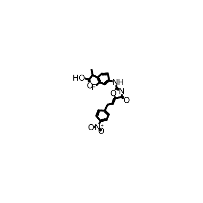 CC(C(=O)O)c1ccc(NC2=NC(=O)C(=CCc3ccc([N+](=O)[O-])cc3)O2)cc1F